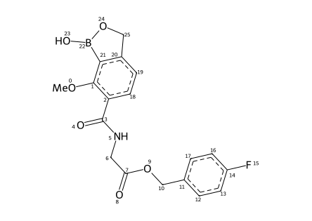 COc1c(C(=O)NCC(=O)OCc2ccc(F)cc2)ccc2c1B(O)OC2